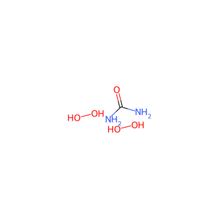 NC(N)=O.OO.OO